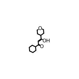 O=C(/C=C(\O)C1CCOCC1)C1CCCCC1